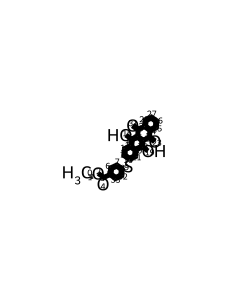 CCOC(=O)c1ccc(Sc2ccc3c(O)c4c(c(O)c3c2)C(=O)c2ccccc2C4=O)cc1